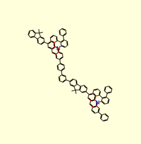 CC1(C)c2ccccc2-c2ccc(-c3ccc(N(c4ccc(-c5ccc(-c6cccc(-c7ccc8c(c7)C(C)(C)c7cc(-c9ccc(N(c%10cccc(-c%11ccccc%11)c%10)c%10cccc(-c%11ccccc%11)c%10-c%10ccccc%10-c%10ccccc%10)cc9)ccc7-8)c6)cc5)cc4)c4cccc(-c5ccccc5)c4-c4ccccc4-c4ccccc4)cc3)cc21